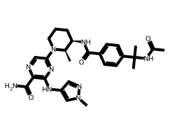 CC(=O)NC(C)(C)c1ccc(C(=O)N[C@@H]2CCCN(c3cnc(C(N)=O)c(Nc4cnn(C)c4)n3)[C@@H]2C)cc1